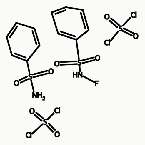 NS(=O)(=O)c1ccccc1.O=S(=O)(Cl)Cl.O=S(=O)(Cl)Cl.O=S(=O)(NF)c1ccccc1